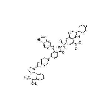 CC(C)c1ccccc1C1CCCN1C1CC2(CCN(c3ccc(C(=O)NS(=O)(=O)c4cc5c(c([N+](=O)[O-])c4)NC(C4CCOCC4)CO5)c(Oc4cnc5[nH]ccc5c4)c3)CC2)C1